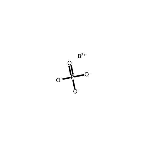 O=P([O-])([O-])[O-].[B+3]